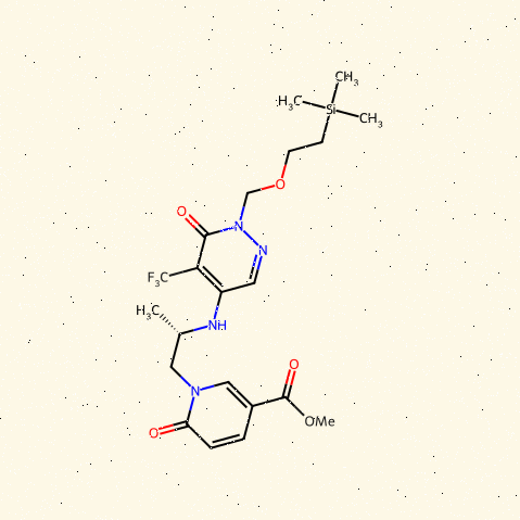 COC(=O)c1ccc(=O)n(C[C@H](C)Nc2cnn(COCC[Si](C)(C)C)c(=O)c2C(F)(F)F)c1